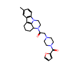 Cc1ccc2c(c1)c1c3n2CCN(C(=O)CN2CCN(C(=O)c4ccco4)CC2)C3CCC1